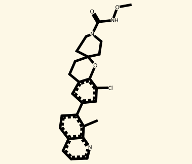 CONC(=O)N1CCC2(CCc3cc(-c4ccc5cccnc5c4C)cc(Cl)c3O2)CC1